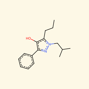 CCCc1c(O)c(-c2ccccc2)nn1CC(C)C